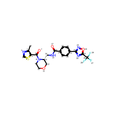 Cc1ncsc1C(=O)N1CCOC[C@H]1CNC(=O)c1ccc(-c2noc(C(F)(F)F)n2)cc1